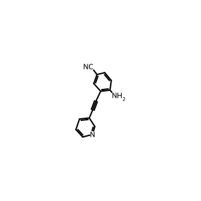 N#Cc1ccc(N)c(C#Cc2cccnc2)c1